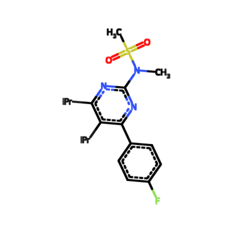 CC(C)c1nc(N(C)S(C)(=O)=O)nc(-c2ccc(F)cc2)c1C(C)C